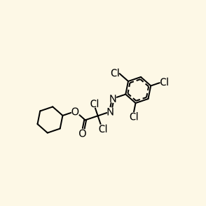 O=C(OC1CCCCC1)C(Cl)(Cl)/N=N/c1c(Cl)cc(Cl)cc1Cl